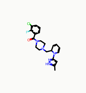 Cc1cc(N2C=CC=CC2CN2CCN(C(=O)c3cccc(Cl)c3F)CC2)n[nH]1